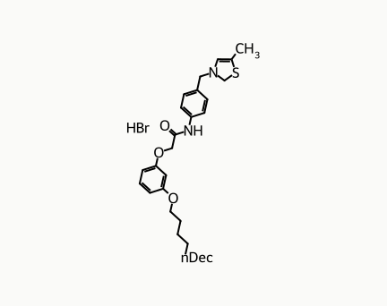 Br.CCCCCCCCCCCCCCOc1cccc(OCC(=O)Nc2ccc(CN3C=C(C)SC3)cc2)c1